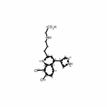 O=C(O)CNCCCc1cc(-c2cn[nH]c2)c2ccc(Cl)c(Cl)c2n1